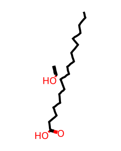 C=CO.CCCCCCCCCCCCCCCCCC(=O)O